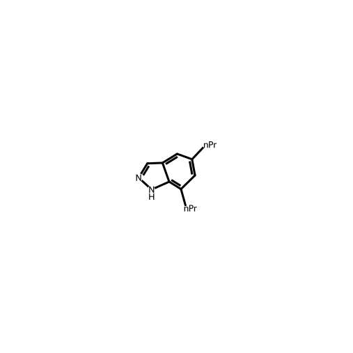 CCCc1cc(CCC)c2[nH]ncc2c1